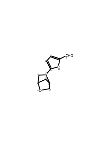 O=Cc1ccc(N2CC3CC2CO3)o1